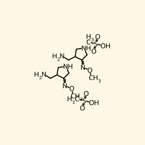 CON=C1CNCC1CN.CON=C1CNCC1CN.CS(=O)(=O)O.CS(=O)(=O)O